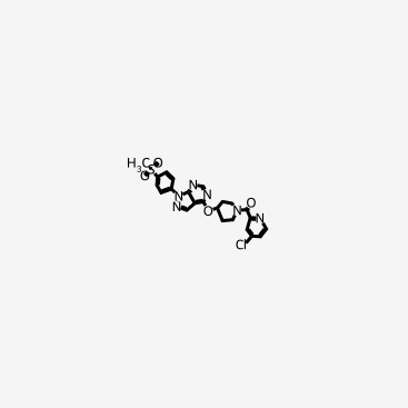 CS(=O)(=O)c1ccc(-n2ncc3c(OC4CCN(C(=O)c5cc(Cl)ccn5)CC4)ncnc32)cc1